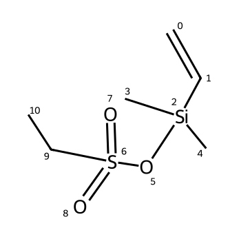 C=C[Si](C)(C)OS(=O)(=O)CC